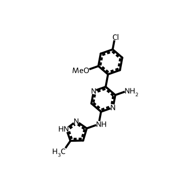 COc1cc(Cl)ccc1-c1ncc(Nc2cc(C)[nH]n2)nc1N